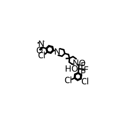 CN(C)C(=O)c1ccc(N2CCC(CC3(C)CCN(C(=O)C(O)(c4cc(Cl)cc(Cl)c4)C(F)(F)F)CC3)CC2)cc1Cl